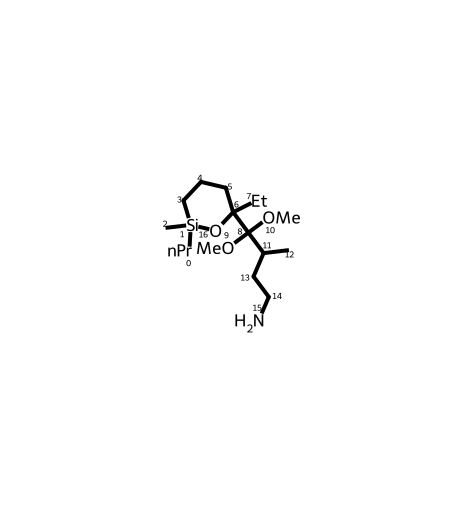 CCC[Si]1(C)CCCC(CC)(C(OC)(OC)C(C)CCN)O1